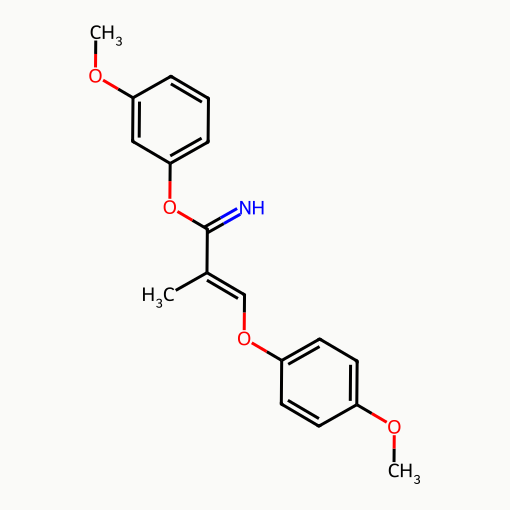 COc1ccc(O/C=C(\C)C(=N)Oc2cccc(OC)c2)cc1